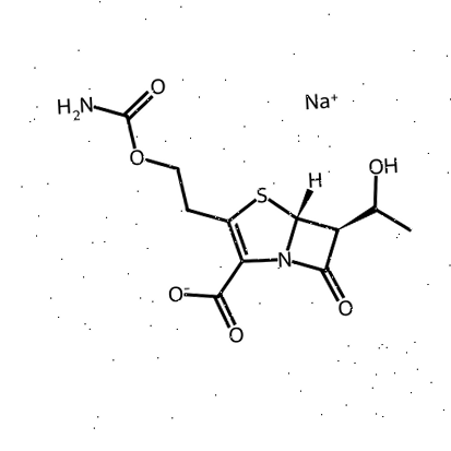 CC(O)[C@H]1C(=O)N2C(C(=O)[O-])=C(CCOC(N)=O)S[C@H]12.[Na+]